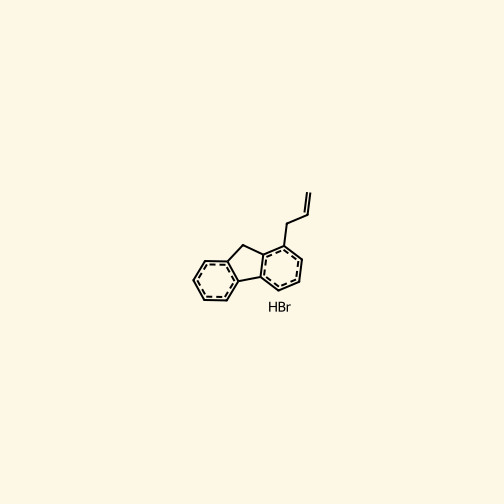 Br.C=CCc1cccc2c1Cc1ccccc1-2